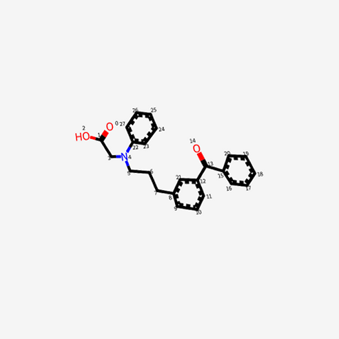 O=C(O)CN(CCCc1cccc(C(=O)c2ccccc2)c1)c1ccccc1